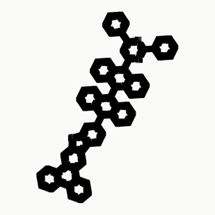 c1ccc(-c2cc(-c3c4ccccc4c(-c4c5ccccc5c(-c5ccc6c(c5)oc5cc7c8ccccc8c8ccccc8c7cc56)c5ccccc45)c4ccccc34)nc(-c3ccccc3)n2)cc1